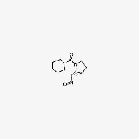 O=NC[C@@H]1CCCN1C(=O)C1CCCCC1